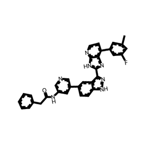 Cc1cc(F)cc(-c2ccnc3[nH]c(-c4n[nH]c5ccc(-c6cncc(NC(=O)Cc7ccccc7)c6)cc45)nc23)c1